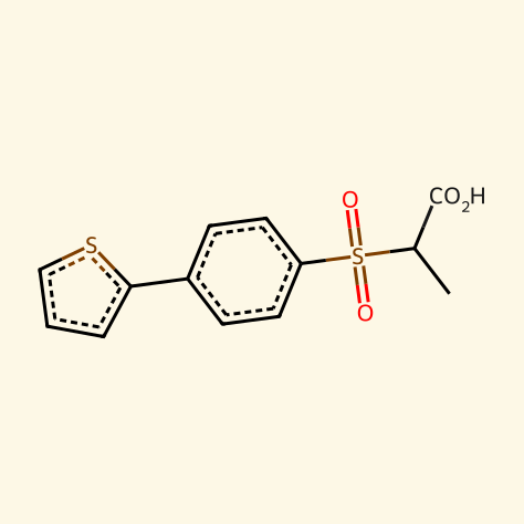 CC(C(=O)O)S(=O)(=O)c1ccc(-c2cccs2)cc1